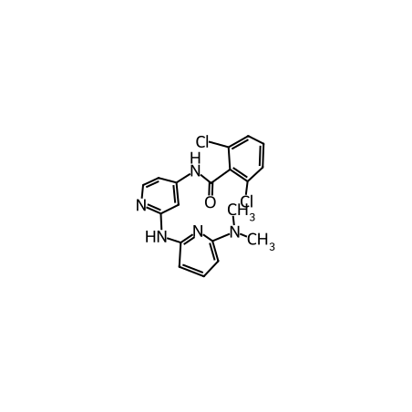 CN(C)c1cccc(Nc2cc(NC(=O)c3c(Cl)cccc3Cl)ccn2)n1